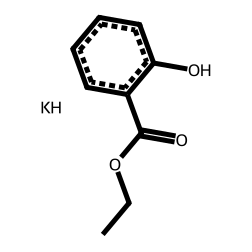 CCOC(=O)c1ccccc1O.[KH]